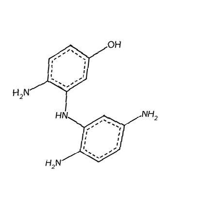 Nc1ccc(N)c(Nc2cc(O)ccc2N)c1